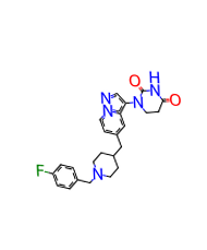 O=C1CCN(c2cnn3ccc(CC4CCN(Cc5ccc(F)cc5)CC4)cc23)C(=O)N1